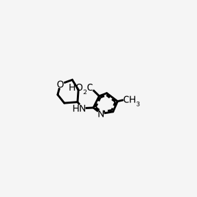 Cc1cnc(NC2CCOCC2)c(C(=O)O)c1